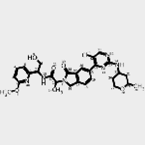 COc1cccc(C(CO)NC(=O)C(C)N2Cc3ccc(-c4nc(NC5CCOC(C)C5)ncc4Cl)cc3C2=O)n1